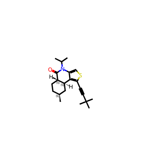 CC(C)N1C(=O)[C@H]2CC[C@H](C)C[C@@H]2c2c1csc2C#CC(C)(C)C